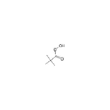 CC(C)(C)C(=O)OO